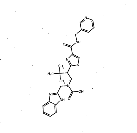 CC(C)(C)C(CN(Cc1nc2ccccc2[nH]1)C(=O)O)c1nc(C(=O)NCc2cccnc2)cs1